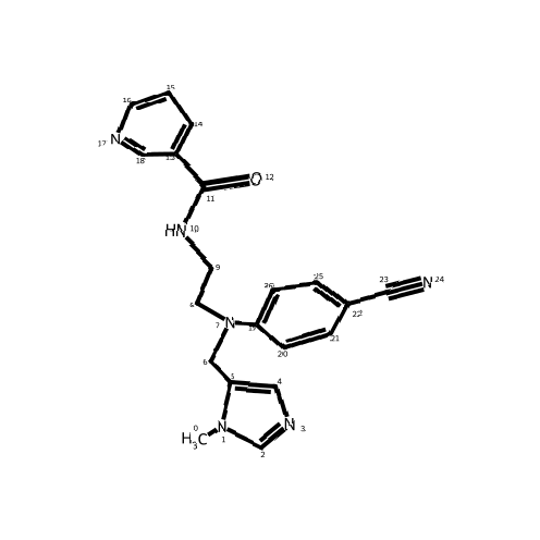 Cn1cncc1CN(CCNC(=O)c1cccnc1)c1ccc(C#N)cc1